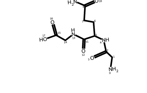 NCC(=O)NC(CCC(N)=O)C(=O)NCC(=O)O